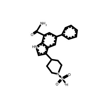 [3H]S(=O)(=O)N1CCC(c2c[nH]c3c(C(N)=O)cc(-c4ccccc4)cc23)CC1